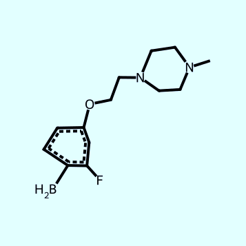 Bc1ccc(OCCN2CCN(C)CC2)cc1F